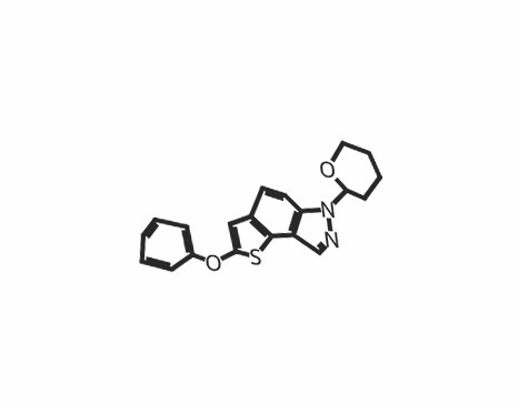 c1ccc(Oc2cc3ccc4c(cnn4C4CCCCO4)c3s2)cc1